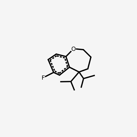 CC(C)C1(C(C)C)CCCOc2ccc(F)cc21